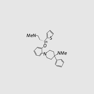 CNCC[C@@H](Oc1ccccc1N1CCC(NC)(c2ccccc2)CC1)c1cccs1